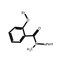 CCCCCN(C)C(=O)c1ccccc1OCC